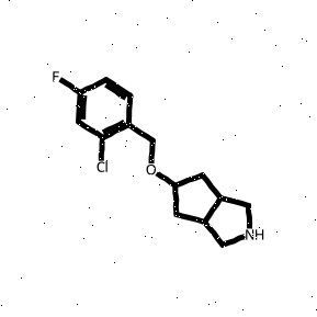 Fc1ccc(COC2CC3CNCC3C2)c(Cl)c1